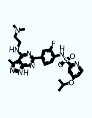 Cc1n[nH]c2nc(-c3ccc(NS(=O)(=O)c4cc(OC(C)C)ccn4)c(F)c3)nc(NCCN(C)C)c12